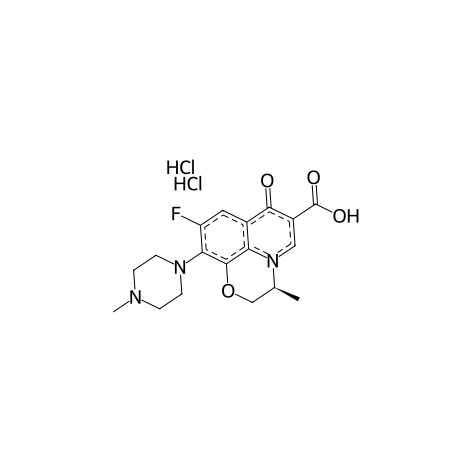 C[C@H]1COc2c(N3CCN(C)CC3)c(F)cc3c(=O)c(C(=O)O)cn1c23.Cl.Cl